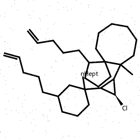 C=CCCCC1CCCC(CCCCCCC)(C2C(C3(C)CCCCCCC34CCCC4CCCC=C)[C@H]2Cl)C1